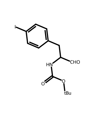 CC(C)(C)OC(=O)NC(C=O)Cc1ccc(I)cc1